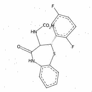 O=C(O)NC1C(=O)Nc2ccccc2S[C@H]1c1cc(F)ccc1F